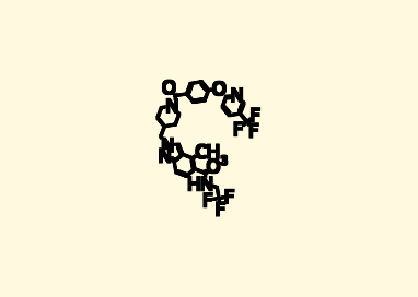 Cc1c(C(=O)NCC(F)(F)F)ccc2nn(CC3CCN(C(=O)c4ccc(Oc5ccc(C(F)(F)F)cn5)cc4)CC3)cc12